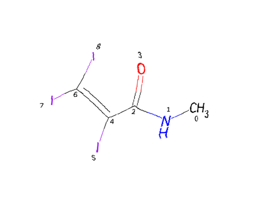 CNC(=O)C(I)=C(I)I